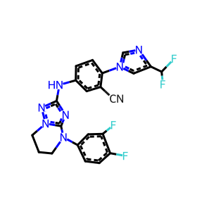 N#Cc1cc(Nc2nc3n(n2)CCCN3c2ccc(F)c(F)c2)ccc1-n1cnc(C(F)F)c1